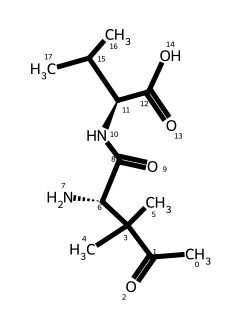 CC(=O)C(C)(C)[C@H](N)C(=O)N[C@H](C(=O)O)C(C)C